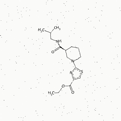 CCOC(=O)c1csc(N2CCC[C@H](C(=O)NCC(C)C)C2)n1